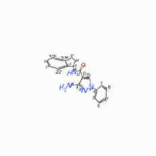 Nc1nn(-c2ccccc2)cc1C(=O)NC1CCc2ccccc21